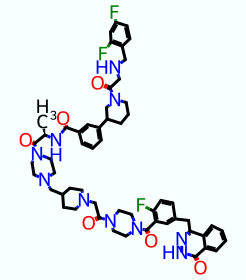 C[C@@H](NC(=O)c1cccc(C2CCCN(C(=O)CNCc3ccc(F)cc3F)C2)c1)C(=O)N1CCN(CC2CCN(CC(=O)N3CCN(C(=O)c4cc(Cc5n[nH]c(=O)c6ccccc56)ccc4F)CC3)CC2)CC1